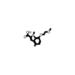 COCCOc1ccc(C)c2cc(C(=O)O)n(C)c12